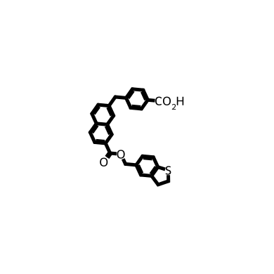 O=C(O)c1ccc(Cc2ccc3ccc(C(=O)OCc4ccc5c(c4)CCS5)cc3c2)cc1